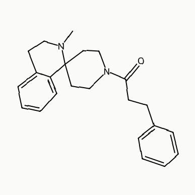 CN1CCc2ccccc2C12CCN(C(=O)CCc1ccccc1)CC2